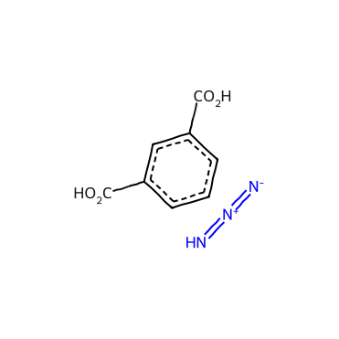 O=C(O)c1cccc(C(=O)O)c1.[N-]=[N+]=N